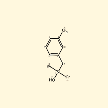 CC(C)[Si](O)(Cc1cccc(C(F)(F)F)c1)C(C)C